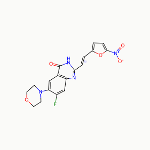 O=c1[nH]c(/C=C/c2ccc([N+](=O)[O-])o2)nc2cc(F)c(N3CCOCC3)cc12